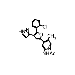 CC(=O)Nc1cc(-c2cc(-c3cc[nH]n3)c(-c3ccccc3Cl)o2)c(C)cn1